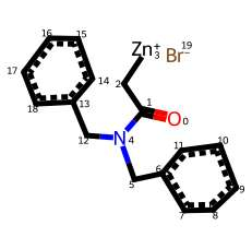 O=C([CH2][Zn+])N(Cc1ccccc1)Cc1ccccc1.[Br-]